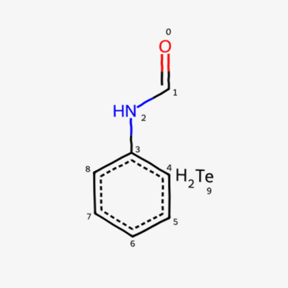 O=CNc1ccccc1.[TeH2]